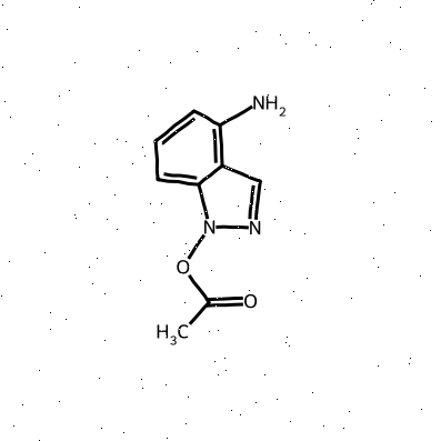 CC(=O)On1ncc2c(N)cccc21